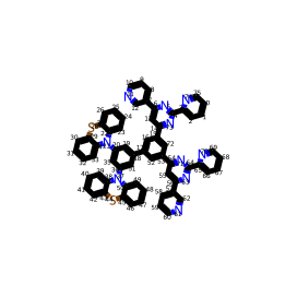 c1ccc(-c2nc(-c3cccnc3)cc(-c3cc(-c4cc(N5c6ccccc6Sc6ccccc65)cc(N5c6ccccc6Sc6ccccc65)c4)cc(-c4cc(-c5cccnc5)nc(-c5ccccn5)n4)c3)n2)nc1